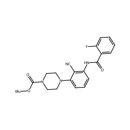 CC(C)(C)OC(=O)N1CCN(c2cccc(NC(=O)c3ccccc3F)c2C#N)CC1